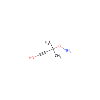 CC(C)(C#CO)ON